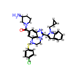 NC1CCCN(C(=O)c2cc3c4c(c2)nc(-c2cc5ccccc5n2CC2CC2)n4CCN3Sc2ccc(Cl)cc2)C1